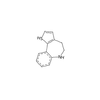 C1=CC2=C([SH]1)c1ccccc1NCC2